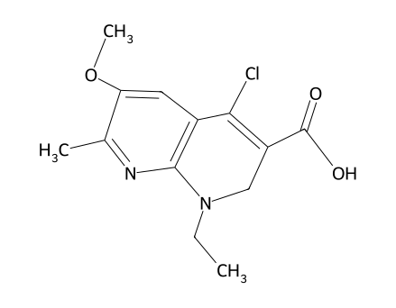 CCN1CC(C(=O)O)=C(Cl)c2cc(OC)c(C)nc21